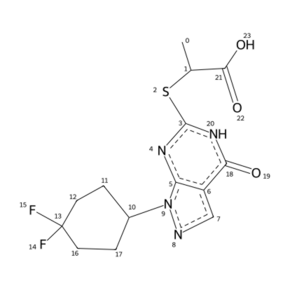 CC(Sc1nc2c(cnn2C2CCC(F)(F)CC2)c(=O)[nH]1)C(=O)O